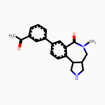 CC(=O)c1cccc(-c2ccc3c(c2)C(=O)N(C)CC2CNCC32)c1